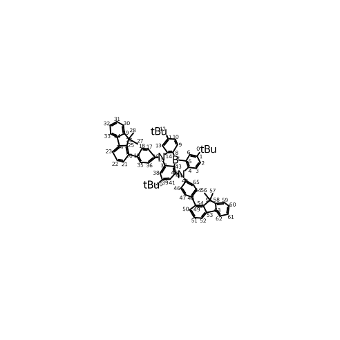 CC(C)(C)c1ccc2c(c1)B1c3ccc(C(C)(C)C)cc3N(c3ccc(-c4cccc5c4C(C)(C)c4ccccc4-5)cc3)c3cc(C(C)(C)C)cc(c31)N2c1ccc(-c2cccc3c2C(C)(C)c2ccccc2-3)cc1